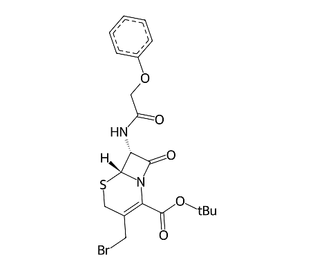 CC(C)(C)OC(=O)C1=C(CBr)CS[C@@H]2[C@H](NC(=O)COc3ccccc3)C(=O)N12